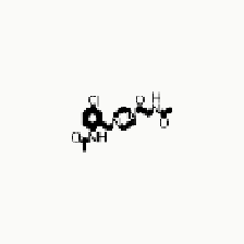 CC(=O)NCC(=O)N1CCN(Cc2cc(Cl)ccc2NC(C)=O)CC1